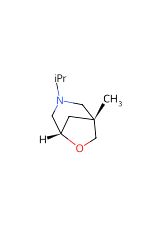 CC(C)N1C[C@@H]2C[C@@](C)(CO2)C1